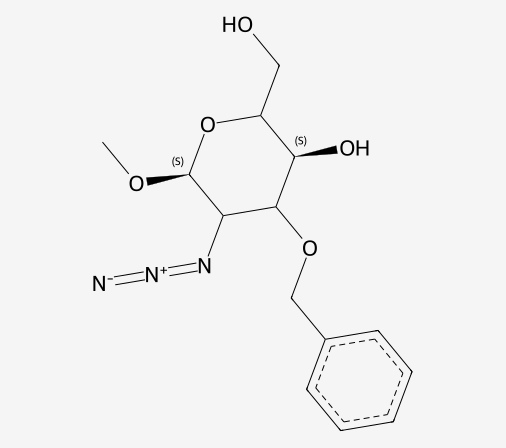 CO[C@H]1OC(CO)[C@@H](O)C(OCc2ccccc2)C1N=[N+]=[N-]